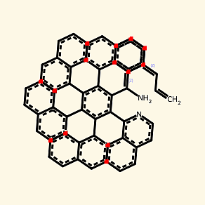 C=C/C=c1/cccc/c1=C(/N)c1c(-c2nccc3ccccc23)c(-c2nccc3ccccc23)c(-c2nccc3ccccc23)c(-c2nccc3ccccc23)c1-c1nccc2ccccc12